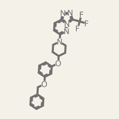 FC(F)(F)c1nnc2ccc(N3CCC(Oc4cccc(OCc5ccccc5)c4)CC3)nn12